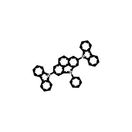 c1ccc(-n2c3cc(-n4c5ccccc5c5ccccc54)cc4ccc5cc(-n6c7ccccc7c7ccccc76)cc2c5c43)cc1